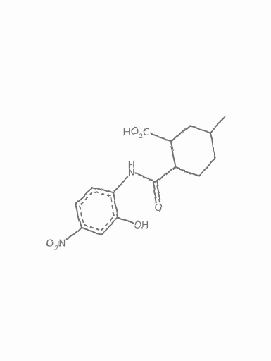 CC1CCC(C(=O)Nc2ccc([N+](=O)[O-])cc2O)C(C(=O)O)C1